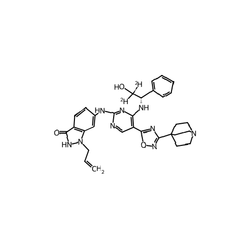 [2H]C([2H])(O)[C@@H](Nc1nc(Nc2ccc3c(=O)[nH]n(CC=C)c3c2)ncc1-c1nc(C23CCN(CC2)CC3)no1)c1ccccc1